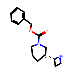 O=C(OCc1ccccc1)N1CCC[C@@H](C2CCN2)C1